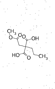 CCCC(CC(=O)OC)(C(=O)O)C(=O)O